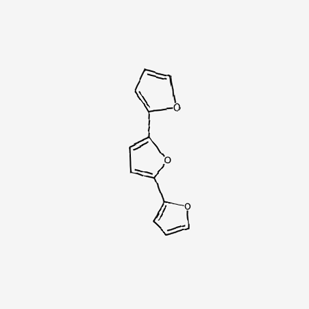 c1coc(-c2ccc(-c3ccco3)o2)c1